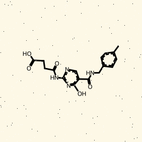 Cc1ccc(CNC(=O)c2cnc(NC(=O)CCC(=O)O)nc2O)cc1